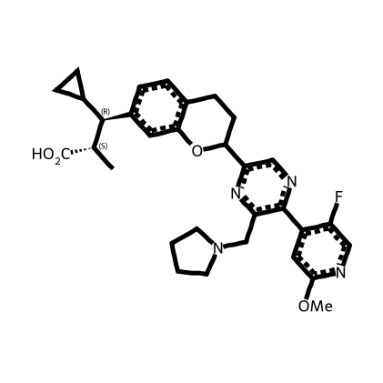 COc1cc(-c2ncc(C3CCc4ccc([C@H](C5CC5)[C@H](C)C(=O)O)cc4O3)nc2CN2CCCC2)c(F)cn1